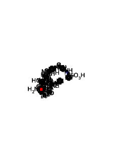 CC(=O)N[C@@H](CS(=O)(=O)ON)C(=O)N1CCC[C@H]1C(=O)N[C@@H](CC(C)C)C(=O)NCC(=O)N[C@@H](CCc1ccccc1)C(=O)N[C@@H](Cc1ccc(O)cc1)C(=O)N[C@@H](CC(C)C)C(=O)NNC(=O)c1ccc(CNC(=O)c2ccc(N/N=C/c3ccccc3S(=O)(=O)O)nc2)cc1.N